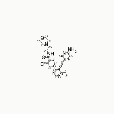 CCc1ncnc(-c2ccc(C(=O)NCCN3CCOCC3)c(Cl)c2)c1C#Cc1ccc(N)nc1